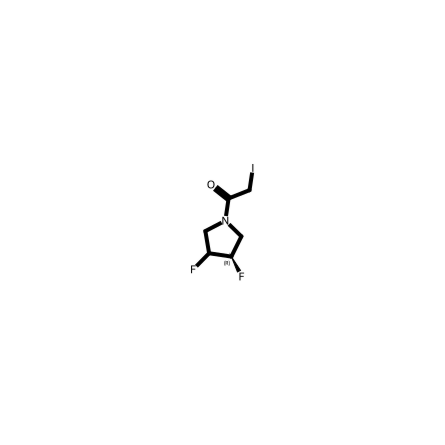 O=C(CI)N1CC(F)[C@H](F)C1